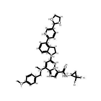 COc1ccc(CN(C)c2cc(N3CCc4c(-c5ccc(C6OCCO6)cn5)cccc43)nn3c(C(=O)N[C@@H]4CC4(F)F)cnc23)cc1